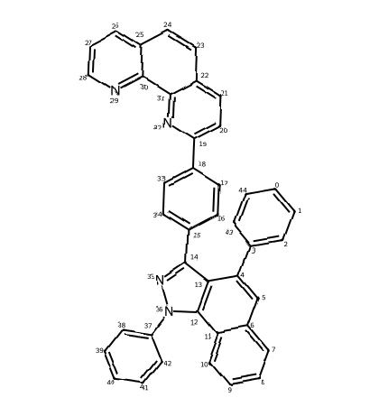 c1ccc(-c2cc3ccccc3c3c2c(-c2ccc(-c4ccc5ccc6cccnc6c5n4)cc2)nn3-c2ccccc2)cc1